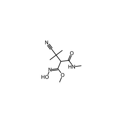 CNC(=O)C(C(=NO)OC)C(C)(C)C#N